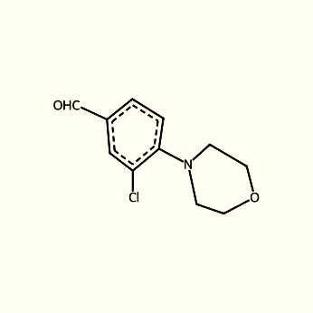 O=Cc1ccc(N2CCOCC2)c(Cl)c1